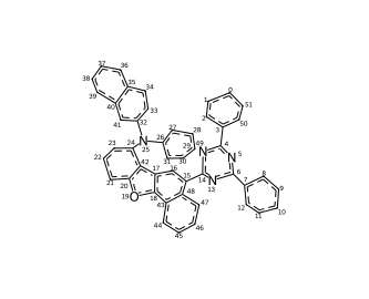 c1ccc(-c2nc(-c3ccccc3)nc(-c3cc4c(oc5cccc(N(c6ccccc6)c6ccc7ccccc7c6)c54)c4ccccc34)n2)cc1